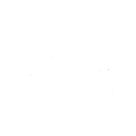 COc1ccccc1Oc1ccc(N2CC[C@H](Oc3ccc(C)cn3)C2)c(CO)n1